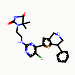 CC1(C)C(=O)NC(=O)N1CCNc1ncc(Cl)c(-c2cc3c(s2)C(c2ccccc2)CNC3)n1